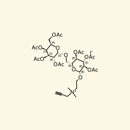 C#CC[N+](C)(C)CCO[C@@H]1O[C@H](CO[C@H]2O[C@H](COC(C)=O)[C@H](OC(C)=O)[C@H](OC(C)=O)[C@H]2OC(C)=O)[C@@H](OC(C)=O)[C@H](OC(C)=O)[C@H]1OC(C)=O.[I-]